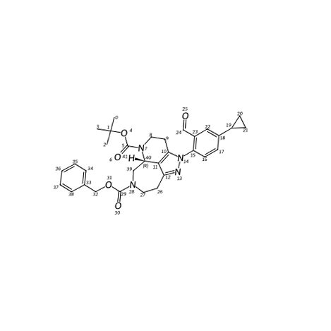 CC(C)(C)OC(=O)N1CCc2c3c(nn2-c2ccc(C4CC4)cc2C=O)CCN(C(=O)OCc2ccccc2)C[C@@H]31